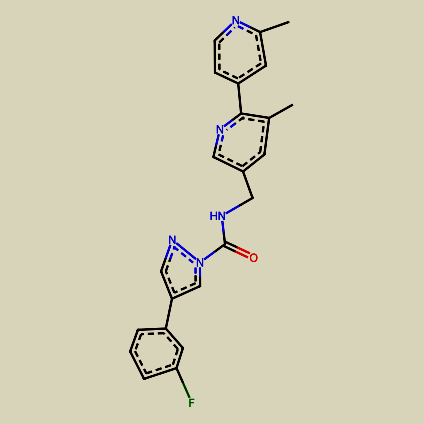 Cc1cc(-c2ncc(CNC(=O)n3cc(-c4cccc(F)c4)cn3)cc2C)ccn1